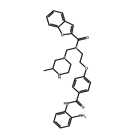 CC1CN(CN(CCOc2ccc(C(=O)Nc3ccccc3N)cc2)C(=O)c2cc3ccccc3o2)CCN1